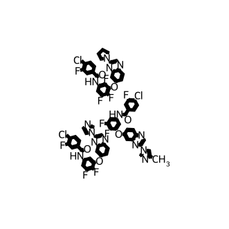 Cc1cn(-c2cnc3ccc(Oc4cc(NC(=O)c5ccc(Cl)c(F)c5)cc(F)c4F)cc3n2)cn1.O=C(Nc1cc(F)c(F)c(Oc2ccc3ncc(-n4ccnc4)nc3c2)c1)c1ccc(Cl)c(F)c1.O=C(Nc1cc(F)c(F)c(Oc2ccc3ncc(N4CCCC4)nc3c2)c1F)c1ccc(Cl)c(F)c1